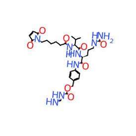 CC(C)[C@H](NC(=O)CCCCCN1C(=O)C=CC1=O)C(=O)N[C@@H](CCCNC(N)=O)C(=O)Nc1ccc(COC(=O)NC=N)cc1